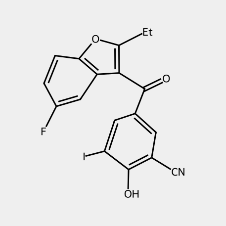 CCc1oc2ccc(F)cc2c1C(=O)c1cc(I)c(O)c(C#N)c1